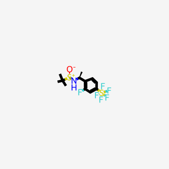 C[C@H](N[S@@+]([O-])C(C)(C)C)c1ccc(S(F)(F)(F)(F)F)cc1F